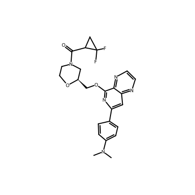 CN(C)c1ccc(-c2cc3nccnc3c(OC[C@@H]3CN(C(=O)C4CC4(F)F)CCO3)n2)cc1